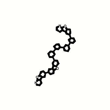 c1cc(-c2cccc(-c3cccc(-c4ccc5oc6ncccc6c5c4)c3)c2)cc(-c2cccc(-c3ccc4oc5ccc(-c6ccc7oc8ncccc8c7c6)cc5c4c3)c2)c1